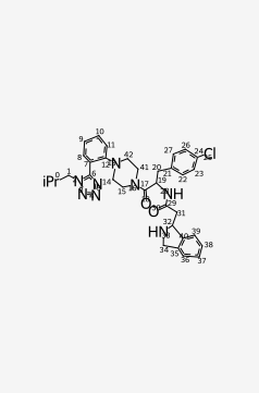 CC(C)Cn1nnnc1-c1ccccc1N1CCN(C(=O)C(Cc2ccc(Cl)cc2)NC(=O)CC2NCc3ccccc32)CC1